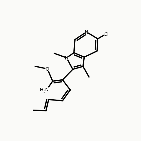 C/C=C/C=C\C(=C(/N)OC)c1c(C)c2cc(Cl)ncc2n1C